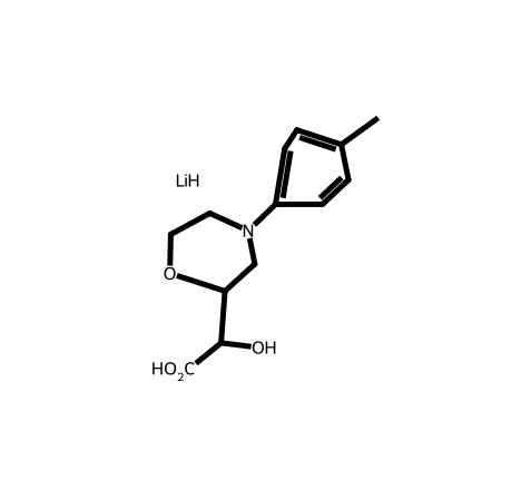 Cc1ccc(N2CCOC(C(O)C(=O)O)C2)cc1.[LiH]